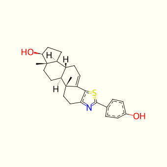 C[C@]12CC[C@H]3[C@@H](CC=C4c5sc(-c6ccc(O)cc6)nc5CC[C@@]43C)[C@@H]1CC[C@@H]2O